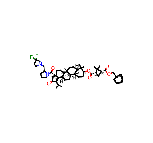 CC(C)C1=C2[C@H]3CC[C@@H]4[C@@]5(C)CC[C@H](OC(=O)[C@H]6C[C@@H](C(=O)OCc7ccccc7)C6(C)C)C(C)(C)[C@@H]5CC[C@@]4(C)[C@]3(C)CC[C@@]2(C(=O)N2CCC[C@H]2CN2CCC(F)(F)C2)CC1=O